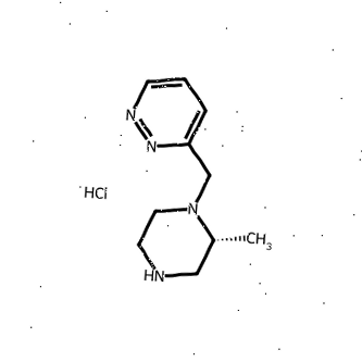 C[C@@H]1CNCCN1Cc1cccnn1.Cl